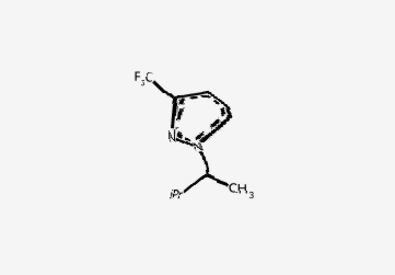 CC(C)C(C)n1ccc(C(F)(F)F)n1